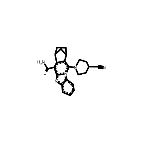 N#CC1CCN(c2c3c(c(C(N)=O)c4nc5ccccc5n24)C2CCC3C2)CC1